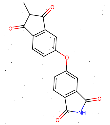 CC1C(=O)c2ccc(Oc3ccc4c(c3)C(=O)NC4=O)cc2C1=O